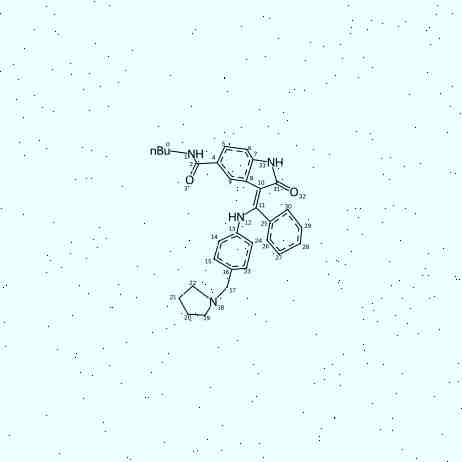 CCCCNC(=O)c1ccc2c(c1)C(=C(Nc1ccc(CN3CCCC3)cc1)c1ccccc1)C(=O)N2